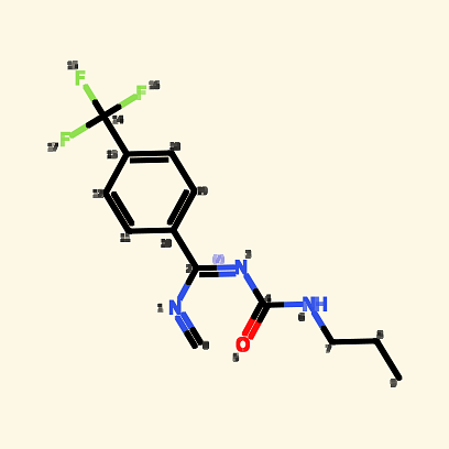 C=N/C(=N\C(=O)NCCC)c1ccc(C(F)(F)F)cc1